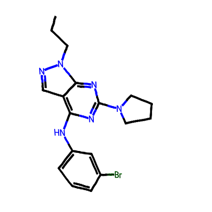 CCCn1ncc2c(Nc3cccc(Br)c3)nc(N3CCCC3)nc21